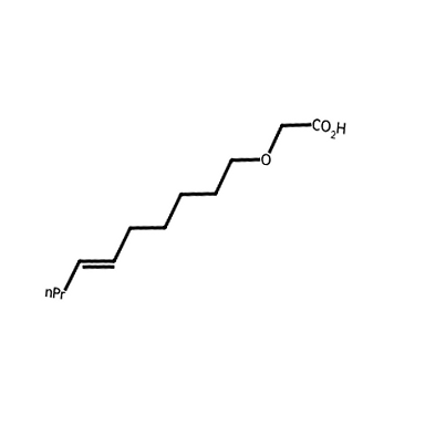 CCCC=CCCCCCOCC(=O)O